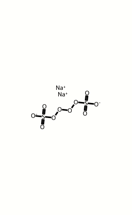 O=S(=O)([O-])OOOOS(=O)(=O)[O-].[Na+].[Na+]